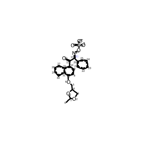 CC1OCC(COc2ccc(C(=O)/C(=N/OS(=O)(=O)C(F)(F)F)c3ccccc3)c3ccccc23)O1